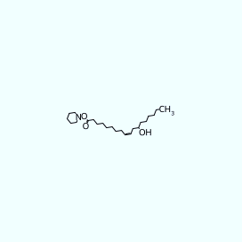 CCCCCC[C@@H](O)C/C=C\CCCCCCCC(=O)ON1CCCCC1